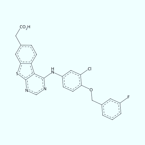 O=C(O)Cc1ccc2c(c1)sc1ncnc(Nc3ccc(OCc4cccc(F)c4)c(Cl)c3)c12